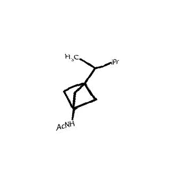 CC(=O)NC12CC(C(C)C(C)C)(C1)C2